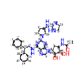 CCC(=O)N[C@H]1C[C@@H](n2cnc3c(NCC(c4ccccc4)c4ccccc4)nc(N4CC[C@@H](NC5=NCCN5)C4)nc32)[C@H](O)[C@@H]1O